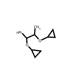 CCCC(OC1CC1)C(C)OC1CC1